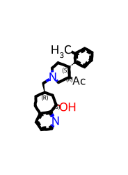 CC(=O)[C@H]1CN(C[C@@H]2CCc3cccnc3[C@@H](O)C2)CC[C@@H]1c1ccccc1C